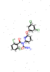 NC(=O)N(C(=O)c1c(F)cccc1Cl)c1cccc(Oc2cc(Cl)cc(Cl)c2)n1